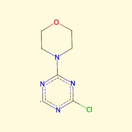 Clc1n[c]nc(N2CCOCC2)n1